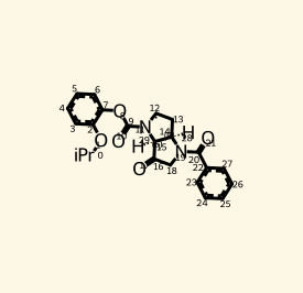 CC(C)Oc1ccccc1OC(=O)N1[CH]C[C@@H]2[C@H]1C(=O)CN2C(=O)c1ccccc1